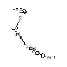 CCCCCC1CCC(c2ccc(OC(=O)c3ccc(OCCCCCCCCOC(=O)CCC(=O)OCCCCCCCCOc4ccccc4C(=O)O)cc3)cc2)CC1